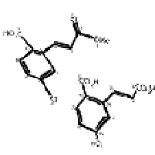 COC(=O)/C=C/c1cc(Cl)ccc1C(=O)O.O=C(O)/C=C/c1cc(Cl)ccc1C(=O)O